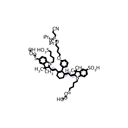 CC(C)N(C(C)C)P(CCC#N)OCCCCOc1cccc(C2=C(/C=C/C3=[N+](CCCCS(=O)(=O)O)c4ccc(SOOO)cc4C3(C)C)CCC/C2=C\C=C2\N(CCCCSOOO)c3ccc(S(=O)(=O)O)cc3C2(C)C)c1